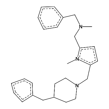 CN(Cc1ccccc1)Cc1ccc(CN2CCC(Cc3ccccc3)CC2)n1C